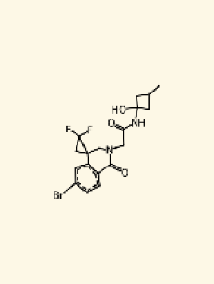 CC1CC(O)(NC(=O)CN2CC3(CC3(F)F)c3cc(Br)ccc3C2=O)C1